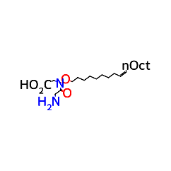 CCCCCCCC/C=C\CCCCCCCCON(CC(=O)O)C(=O)CN